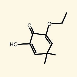 CCOC1=CC(C)(C)C=C(O)C1=O